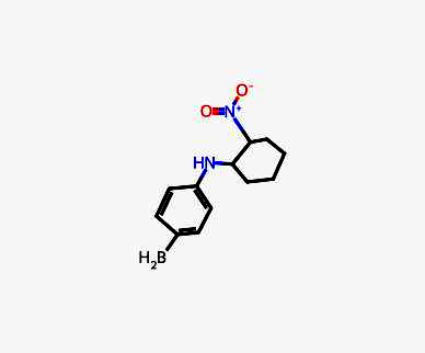 Bc1ccc(NC2CCCCC2[N+](=O)[O-])cc1